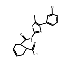 Cc1sc(NC(=O)C2CC=CCC2C(=O)O)nc1-c1cccc(Cl)c1